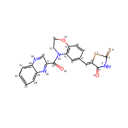 O=C1NC(=S)S/C1=C\c1ccc2c(c1)N(C(=O)c1cnc3ccccc3n1)CCO2